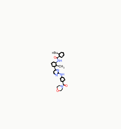 CCCCc1ccccc1C(=O)Nc1cccc(-c2ccnc(Nc3ccc(C(=O)N4CCOCC4)cc3)n2)c1C